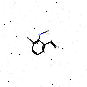 C=Cc1cccc(CC)c1NC(C)C